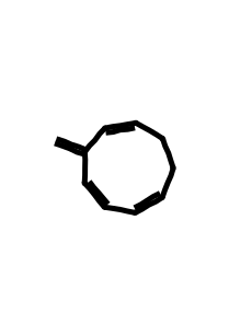 C=C1/C=C\C=C/CC/C=C\1